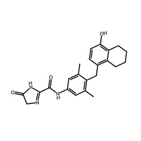 Cc1cc(NC(=O)C2=NCC(=O)N2)cc(C)c1Cc1ccc(O)c2c1CCCC2